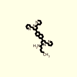 C=C/C=C\C=C(/N)c1cc(-c2ccc3cc(-c4cc(-c5ccccn5)nc(-c5ccccn5)c4)ccc3c2)cc(-c2ccccn2)n1